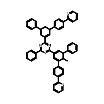 CC1C(c2ccc(-c3ccccn3)cc2)=CC(c2nc(C3=CC(c4ccc(-c5ccccn5)cc4)CC(c4ccccc4)=C3)nc(-c3ccccc3)n2)=CC1c1ccccc1